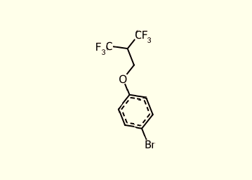 FC(F)(F)C(COc1ccc(Br)cc1)C(F)(F)F